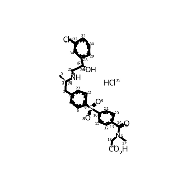 C[C@H](Cc1ccc(S(=O)(=O)c2ccc(C(=O)N(C)CC(=O)O)cc2)cc1)NC[C@H](O)c1cccc(Cl)c1.Cl